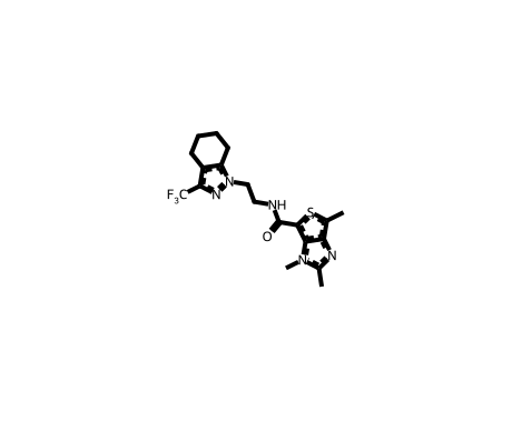 Cc1sc(C(=O)NCCn2nc(C(F)(F)F)c3c2CCCC3)c2c1nc(C)n2C